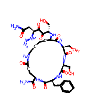 NN[C@@H](CC(N)=O)C(=O)C(=O)[C@H](CO)NC1CCCCNC(=O)CCC(C(N)=O)NC(=O)[C@H](Cc2ccccc2)NC(=O)C(CO)NC(=O)[C@H](CO)NC1=O